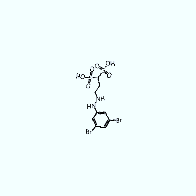 O=S(=O)(O)C(CCNNc1cc(Br)cc(Br)c1)S(=O)(=O)O